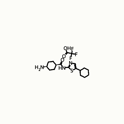 N[C@H]1CC[C@@H](C(=O)Nc2ncc(C3CCCCC3)s2)CC1.O=C(O)C(F)(F)F